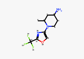 CC1CC(N)CCN1c1coc(C(F)(F)F)n1